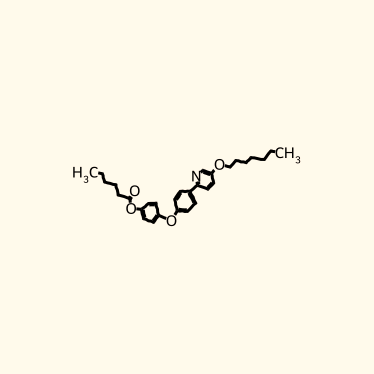 CCCCCCCOc1ccc(-c2ccc(Oc3ccc(OC(=O)CCCCC)cc3)cc2)nc1